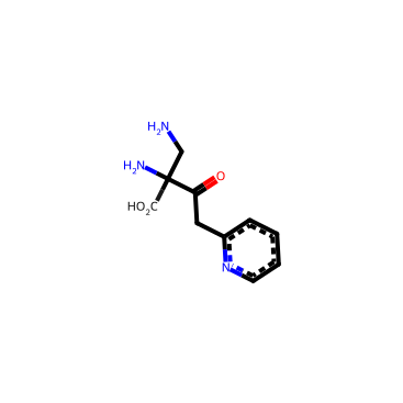 NCC(N)(C(=O)O)C(=O)Cc1ccccn1